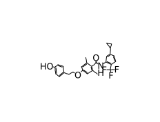 Cc1cc(OCCc2ccc(O)cc2)cc(C)c1C(=O)Nc1cc(C2CC2)ccc1C(F)(F)F